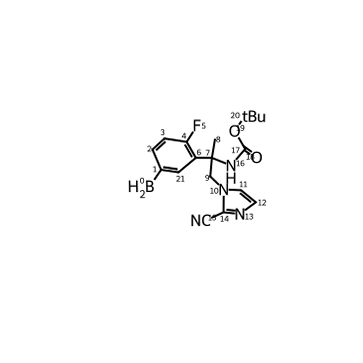 Bc1ccc(F)c(C(C)(Cn2ccnc2C#N)NC(=O)OC(C)(C)C)c1